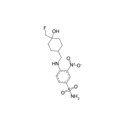 NS(=O)(=O)c1ccc(NCC2CCC(O)(CF)CC2)c([N+](=O)[O-])c1